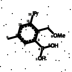 COCc1c(B(O)O)cc(C)cc1C(C)C